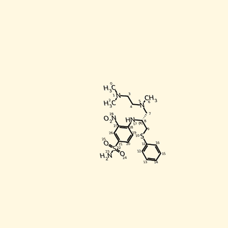 CN(C)CCN(C)C[C@H](CSc1ccccc1)Nc1ccc(S(N)(=O)=O)cc1[N+](=O)[O-]